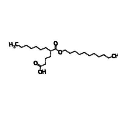 CCCCCCCCCCCOC(=O)C(CCCCCCC)CCCC(=O)O